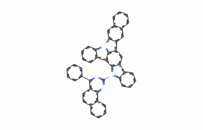 c1ccc(-c2nc(-n3c4ccccc4c4cc5c6cc7ccccc7cc6n6c7ccccc7c(c43)c56)nc3c2ccc2ccccc23)cc1